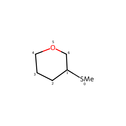 [CH2]SC1CCCOC1